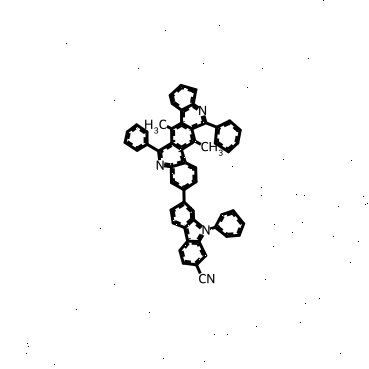 Cc1c2c(-c3ccccc3)nc3cc(-c4ccc5c6ccc(C#N)cc6n(-c6ccccc6)c5c4)ccc3c2c(C)c2c(-c3ccccc3)nc3ccccc3c12